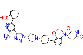 Nc1nnc(-c2ccccc2O)cc1-c1cn(C2CCN([C@H]3CC[C@H](c4cccc5c4OCCN5[C@H]4CCC(=O)NC4=O)CC3)CC2)nn1